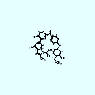 CCN1CCN(Cc2ccc(Nc3ncc(F)c(-c4cc(F)c5cc(C)n(C(C)C)c5c4)n3)nc2)CC1C